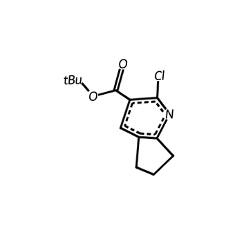 CC(C)(C)OC(=O)c1cc2c(nc1Cl)CCC2